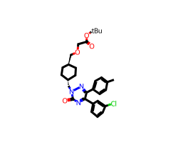 Cc1ccc(-c2nn(C[C@H]3CC[C@H](COCC(=O)OC(C)(C)C)CC3)c(=O)nc2-c2cccc(Cl)c2)cc1